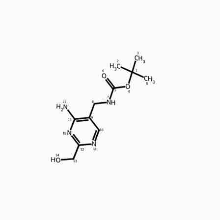 CC(C)(C)OC(=O)NCc1cnc(CO)nc1N